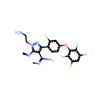 C=Nc1c(/C(N)=N\C)c(-c2ccc(Oc3c(F)c(F)cc(F)c3F)cc2F)nn1CCN